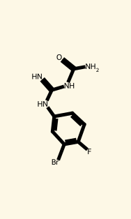 N=C(NC(N)=O)Nc1ccc(F)c(Br)c1